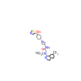 O=C(CN(C(=O)O)c1nccc2ccc(C(F)(F)F)cc12)NC1CN([C@H]2CC[C@](O)(c3cncs3)CC2)C1